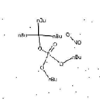 CCCCOP(=O)(OCCCC)OC(CCCC)(CCCC)CCCC.O=[NH+][O-]